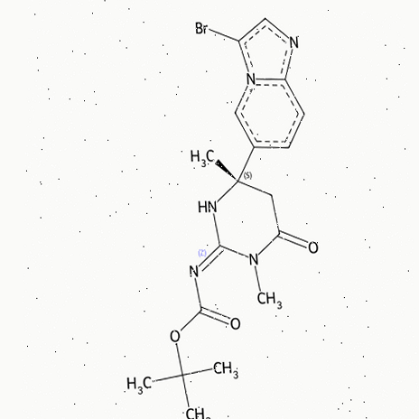 CN1C(=O)C[C@@](C)(c2ccc3ncc(Br)n3c2)N/C1=N/C(=O)OC(C)(C)C